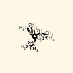 CC(CNCc1cc(CNCC(C)N(C)C)c(O)c(CNCC(C)N(C)C)c1)N(C)C